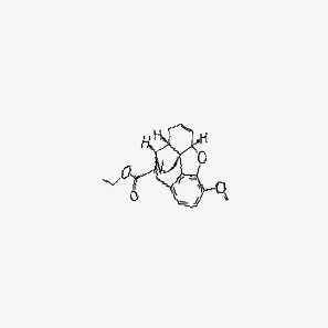 CCOC(=O)N1CC[C@]23c4c5ccc(OC)c4O[C@H]2C=CC[C@H]3[C@H]1C5